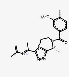 C=C(C)/N=C(\C)c1nnc2n1CCN(C(=O)c1ccc(C)c(OC)c1)[C@@H]2C